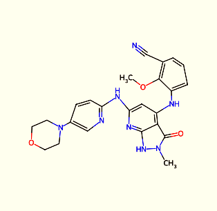 COc1c(C#N)cccc1Nc1cc(Nc2ccc(N3CCOCC3)cn2)nc2[nH]n(C)c(=O)c12